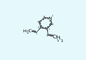 C=Cc1ccncc1C=C